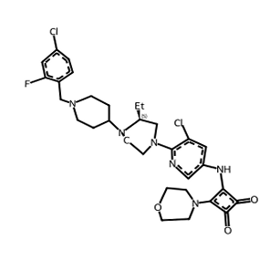 CC[C@H]1CN(c2ncc(Nc3c(N4CCOCC4)c(=O)c3=O)cc2Cl)CCN1C1CCN(Cc2ccc(Cl)cc2F)CC1